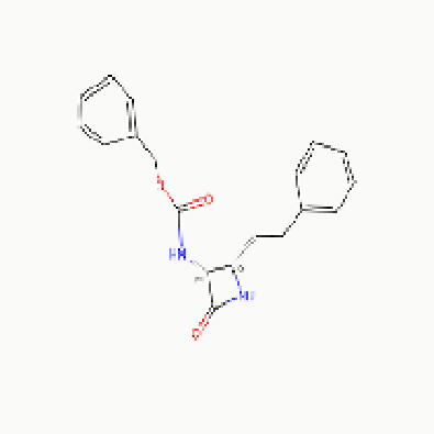 O=C(N[C@H]1C(=O)N[C@H]1CCc1ccccc1)OCc1ccccc1